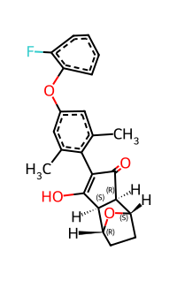 Cc1cc(Oc2ccccc2F)cc(C)c1C1=C(O)[C@H]2[C@@H](C1=O)[C@@H]1CC[C@H]2O1